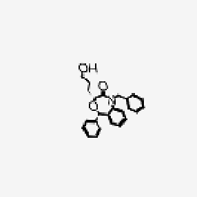 O=C1[C@@H](CCCO)O[C@H](c2ccccc2)c2ccccc2N1Cc1ccccc1